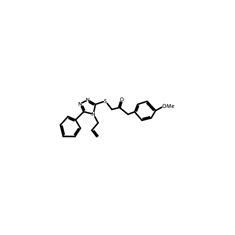 C=CCn1c(SCC(=O)Cc2ccc(OC)cc2)nnc1-c1ccccc1